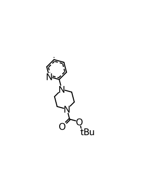 CC(C)(C)OC(=O)N1CCN(c2cc[c]cn2)CC1